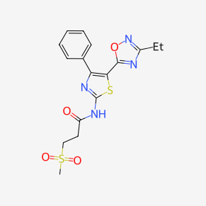 CCc1noc(-c2sc(NC(=O)CCS(C)(=O)=O)nc2-c2ccccc2)n1